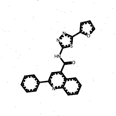 O=C(Nc1nnc(-c2ccco2)s1)c1cc(-c2ccccc2)nc2ccccc12